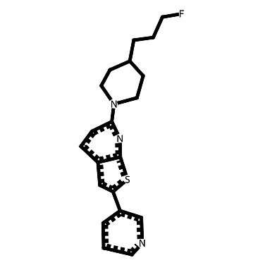 FCCCC1CCN(c2ccc3cc(-c4cccnc4)sc3n2)CC1